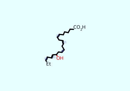 CC/C=C\C=C\C(O)C/C=C\C/C=C\C/C=C\CCCCCC(=O)O